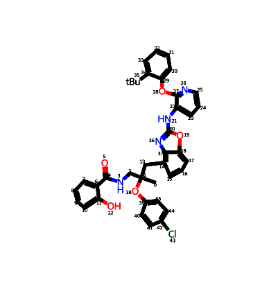 CC(CNC(=O)c1ccccc1O)(Cc1cccc2oc(Nc3cccnc3Oc3ccccc3C(C)(C)C)nc12)Oc1ccc(Cl)cc1